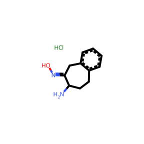 Cl.NC1CCc2ccccc2CC1=NO